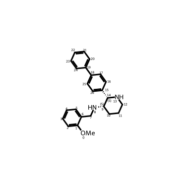 COc1ccccc1CN[C@H]1CCCN[C@H]1c1ccc(-c2ccccc2)cc1